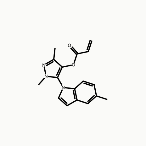 C=CC(=O)Oc1c(C)nn(C)c1-n1ccc2cc(C)ccc21